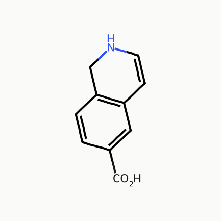 O=C(O)c1ccc2c(c1)C=CNC2